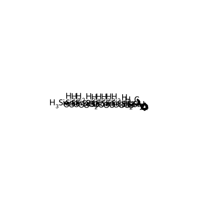 CCC(=C[SiH2]O[SiH2]O[SiH2]O[SiH2]O[SiH2]O[SiH2]O[SiH2]O[SiH2]O[SiH2]O[SiH2]O[SiH2]O[SiH2]O[SiH2]O[SiH2]O[SiH3])c1ccccc1